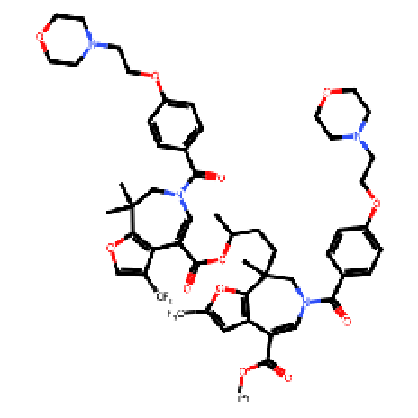 CC(C)OC(=O)C1=CN(C(=O)c2ccc(OCCN3CCOCC3)cc2)CC(C)(CCC(C)OC(=O)C2=CN(C(=O)c3ccc(OCCN4CCOCC4)cc3)CC(C)(C)c3occ(C(F)(F)F)c32)c2oc(C(F)(F)F)cc21